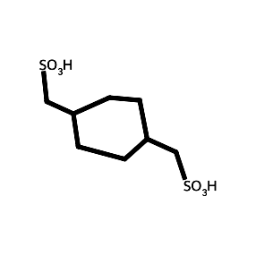 O=S(=O)(O)CC1CCC(CS(=O)(=O)O)CC1